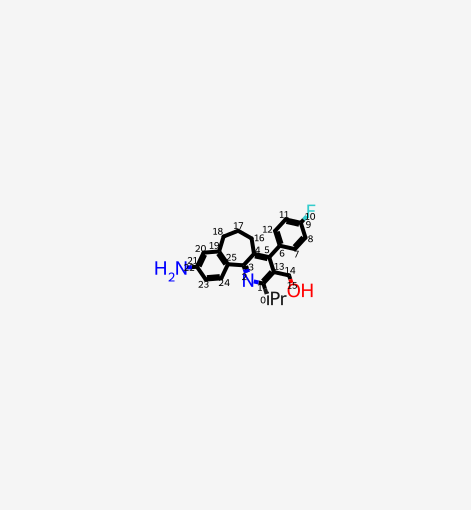 CC(C)c1nc2c(c(-c3ccc(F)cc3)c1CO)CCCc1cc(N)ccc1-2